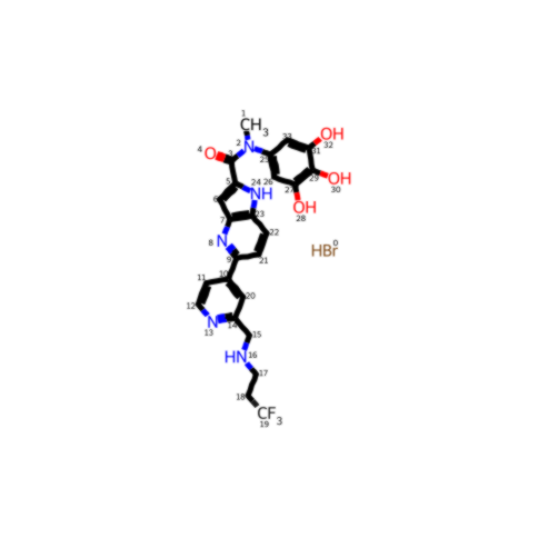 Br.CN(C(=O)c1cc2nc(-c3ccnc(CNCCC(F)(F)F)c3)ccc2[nH]1)c1cc(O)c(O)c(O)c1